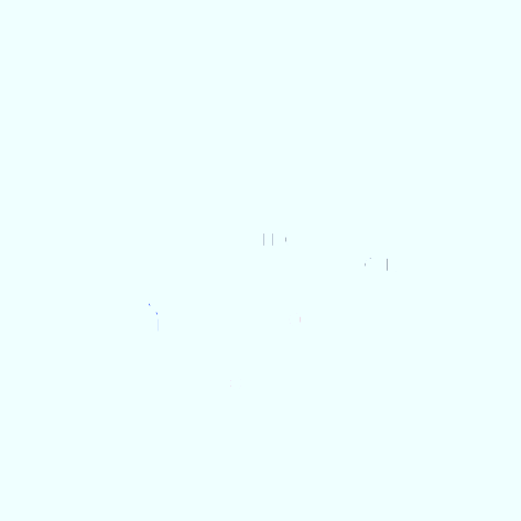 CC(C)OC=O.c1ccc2c(c1)CCNC2